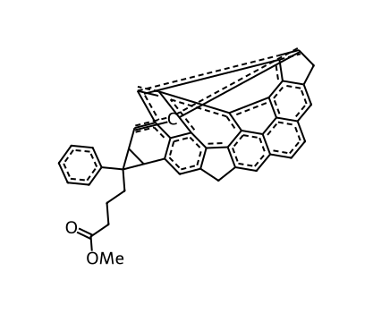 COC(=O)CCCC1(c2ccccc2)C2c3cc4c5c6c(cc7ccc8cc9c%10c%11c(cc(c%12c3c5c(c%12%11)c3c6c7c8c%103)C21)C9)C4